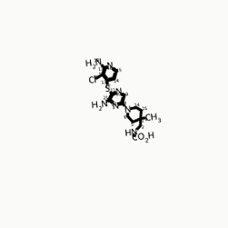 CC1(CNC(=O)O)CCN(c2cnc(Sc3ccnc(N)c3Cl)c(N)n2)CC1